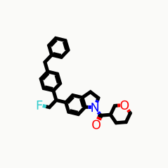 O=C(C1CCCOC1)N1CCc2cc(C(CF)c3ccc(Cc4ccccc4)cc3)ccc21